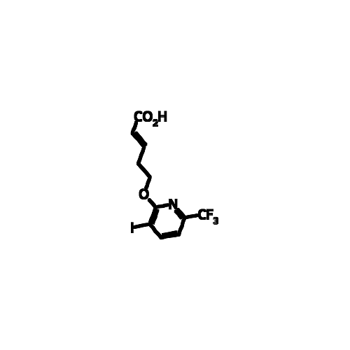 O=C(O)C=CCCOc1nc(C(F)(F)F)ccc1I